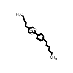 CCCCCCc1ccc(C23OCC(CCCCC)(CO2)CO3)cc1